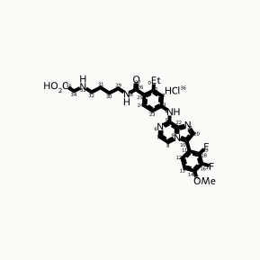 CCc1cc(Nc2nccn3c(-c4ccc(OC)c(F)c4F)cnc23)ccc1C(=O)NCCCCNCC(=O)O.Cl